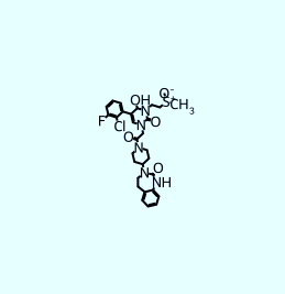 C[S+]([O-])CCN1C(=O)N(CC(=O)N2CCC(N3CCc4ccccc4NC3=O)CC2)C=C(c2cccc(F)c2Cl)C1O